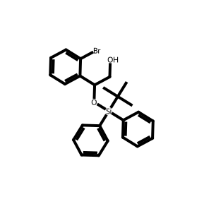 CC(C)(C)[Si](OC(CO)c1ccccc1Br)(c1ccccc1)c1ccccc1